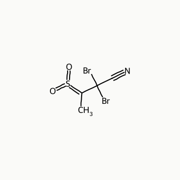 CC(=S(=O)=O)C(Br)(Br)C#N